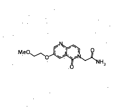 COCCOc1cnc2ccn(CC(N)=O)c(=O)c2c1